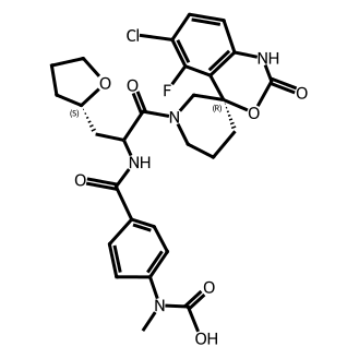 CN(C(=O)O)c1ccc(C(=O)NC(C[C@@H]2CCCO2)C(=O)N2CCC[C@@]3(C2)OC(=O)Nc2ccc(Cl)c(F)c23)cc1